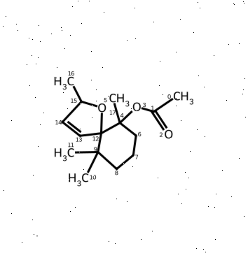 CC(=O)OC1(C)CCCC(C)(C)C12C=CC(C)O2